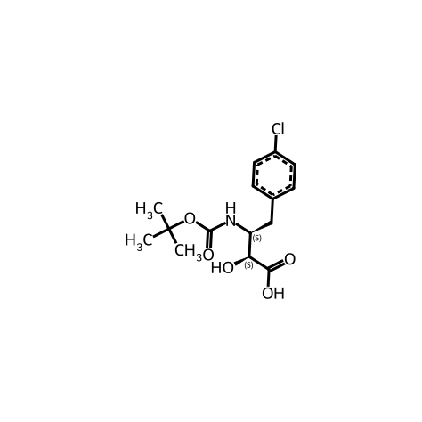 CC(C)(C)OC(=O)N[C@@H](Cc1ccc(Cl)cc1)[C@H](O)C(=O)O